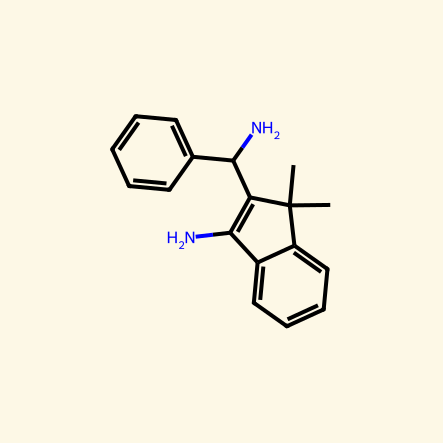 CC1(C)C(C(N)c2ccccc2)=C(N)c2ccccc21